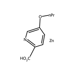 CCCOc1ccc(C(=O)O)nc1.[Zn]